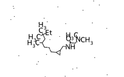 CCC(C)(C)CC(C)CCCC1CC1CNC(=O)CN(C)C